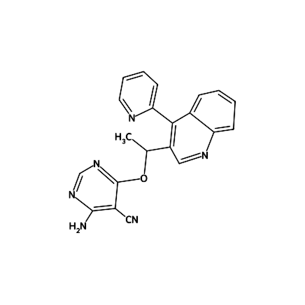 CC(Oc1ncnc(N)c1C#N)c1cnc2ccccc2c1-c1ccccn1